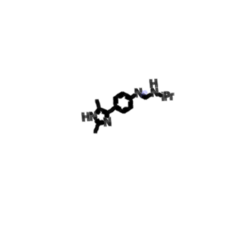 Cc1nc(-c2ccc(/N=C/NC(C)C)cc2)c(C)[nH]1